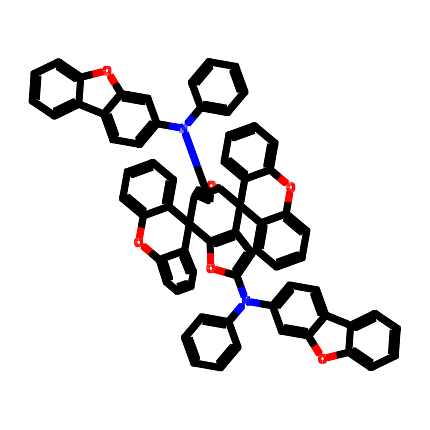 c1ccc(N(c2ccc3c(c2)oc2ccccc23)c2cc3c(o2)C2(c4ccccc4Oc4ccccc42)c2cc(N(c4ccccc4)c4ccc5c(c4)oc4ccccc45)oc2C32c3ccccc3Oc3ccccc32)cc1